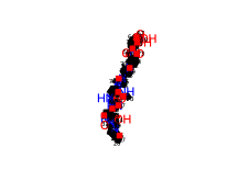 C=CC(=O)Nc1cc(Nc2nc(-c3ccnc(N4CCn5c(cc6c5CC(C)(C)C6)C4=O)c3CO)cn(C)c2=O)ccc1N1CCN(C2CCN(c3ccc4c(c3)C(=O)N(C3CCC(C)(OP(=O)(O)O)CC3)C4=O)[C@H](C)C2)C[C@@H]1C